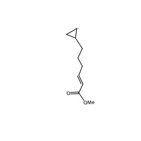 COC(=O)C=CCCCC1[CH]C1